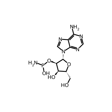 Nc1ncnc2c1ncn2[C@@H]1O[C@H](CO)[C@@H](O)[C@H]1OP(N)O